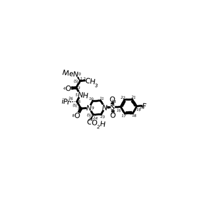 CN[C@@H](C)C(=O)N[C@H](C(=O)N1CCN(S(=O)(=O)c2ccc(F)cc2)C[C@H]1C(=O)O)C(C)C